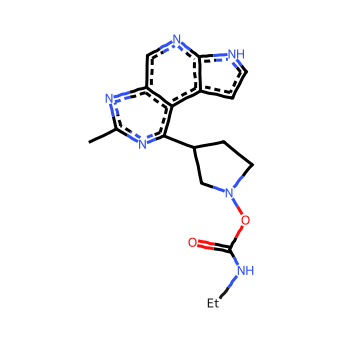 CCNC(=O)ON1CCC(c2nc(C)nc3cnc4[nH]ccc4c23)C1